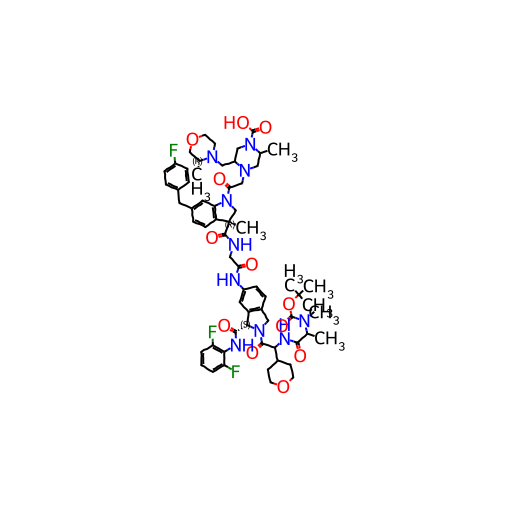 CC(C(=O)NC(C(=O)N1Cc2ccc(NC(=O)CNC(=O)[C@@]3(C)CN(C(=O)CN4CC(C)N(C(=O)O)CC4CN4CCOC[C@H]4C)c4cc(Cc5ccc(F)cc5)ccc43)cc2[C@H]1C(=O)Nc1c(F)cccc1F)C1CCOCC1)N(C)C(=O)OC(C)(C)C